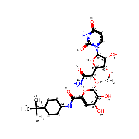 CO[C@H]1[C@@H](O)[C@H](n2ccc(=O)[nH]c2=O)O[C@@H]1[C@@H](O[C@H]1OC(C(=O)NC2CCC(C(C)(C)C)CC2)=C[C@H](O)[C@@H]1O)C(N)=O